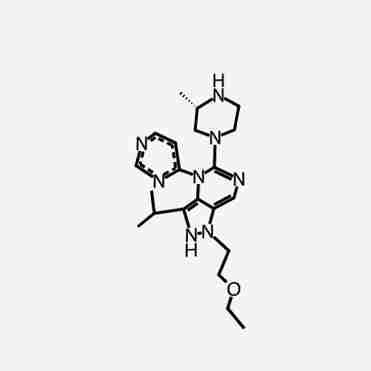 CCOCCN1NC(C(C)C)=C2C1=CN=C(N1CCN[C@@H](C)C1)N2c1ccncn1